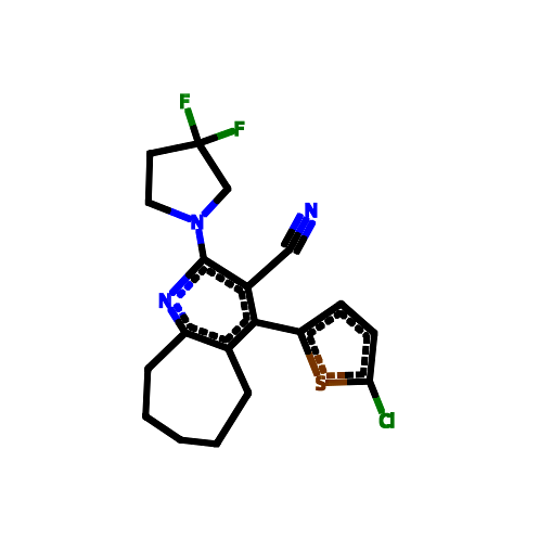 N#Cc1c(N2CCC(F)(F)C2)nc2c(c1-c1ccc(Cl)s1)CCCCC2